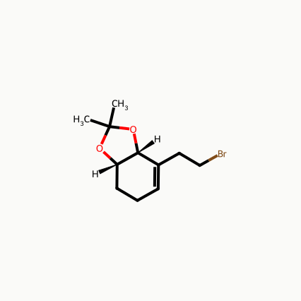 CC1(C)O[C@H]2CCC=C(CCBr)[C@H]2O1